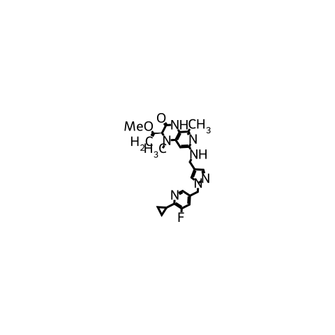 C=C(OC)[C@H]1C(=O)Nc2c(cc(NCc3cnn(Cc4cnc(C5CC5)c(F)c4)c3)nc2C)N1C